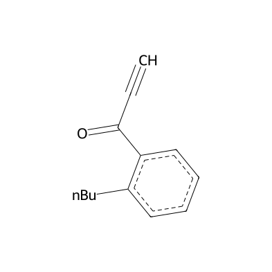 C#CC(=O)c1ccccc1CCCC